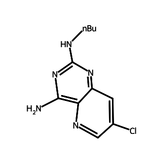 CCCCNc1nc(N)c2ncc(Cl)cc2n1